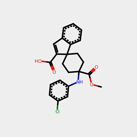 COC(=O)C1(Nc2cccc(Cl)c2)CCC2(CC1)C(C(=O)O)=Cc1ccccc12